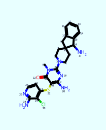 Cn1c(N2CCC3(CC2)Cc2ccccc2C3N)nc(N)c(Sc2ccnc(N)c2Cl)c1=O